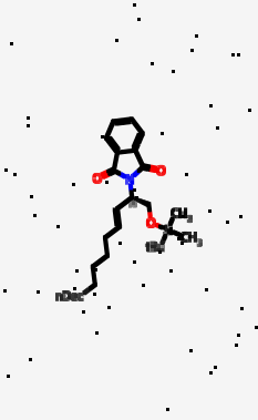 CCCCCCCCCCCCCCC=C[C@H](CO[Si](C)(C)C(C)(C)C)N1C(=O)c2ccccc2C1=O